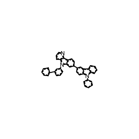 c1ccc(-c2cccc(-n3c4cc(-c5ccc6c(c5)c5ccccc5n6-c5ccccc5)ccc4c4ncccc43)c2)cc1